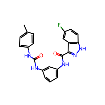 Cc1ccc(NC(=O)Nc2cccc(NC(=O)c3n[nH]c4ccc(F)cc34)c2)cc1